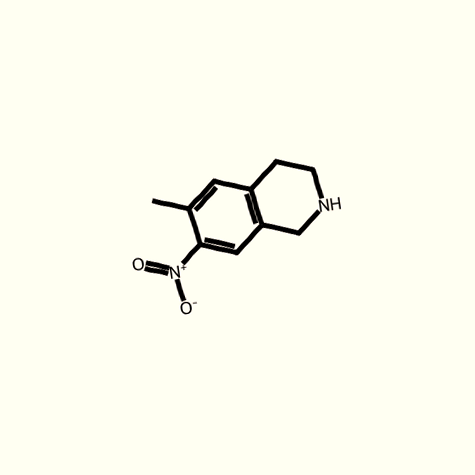 Cc1cc2c(cc1[N+](=O)[O-])CNCC2